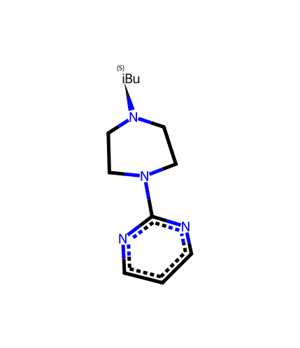 CC[C@H](C)N1CCN(c2ncccn2)CC1